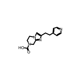 O=C(O)N1CCn2cc(CCc3ccncc3)nc2C1